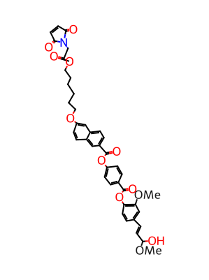 COc1cc(/C=C/C(O)OC)ccc1OC(=O)c1ccc(OC(=O)c2ccc3cc(OCCCCCCOC(=O)CN4C(=O)C=CC4=O)ccc3c2)cc1